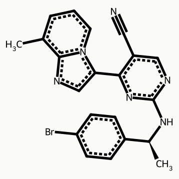 Cc1cccn2c(-c3nc(N[C@@H](C)c4ccc(Br)cc4)ncc3C#N)cnc12